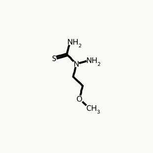 COCCN(N)C(N)=S